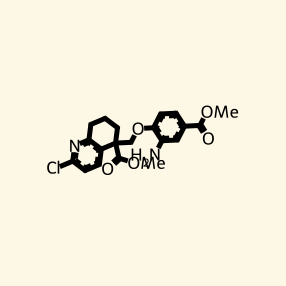 COC(=O)c1ccc(OCC2(C(=O)OC)CCCc3nc(Cl)ccc32)c(N)c1